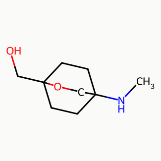 CNC12CCC(CO)(CC1)OC2